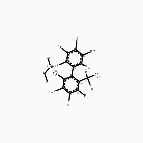 CCNC.Fc1c(F)c(F)c(-c2c(C(F)(F)F)c(F)c(F)c(F)c2C(F)(F)C(F)(F)F)c(F)c1F